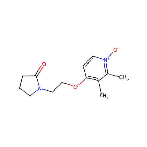 Cc1c(OCCN2CCCC2=O)cc[n+]([O-])c1C